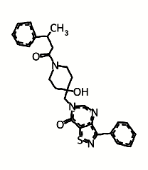 CC(CC(=O)N1CCC(O)(Cn2cnc3c(-c4ccccc4)nsc3c2=O)CC1)c1ccccc1